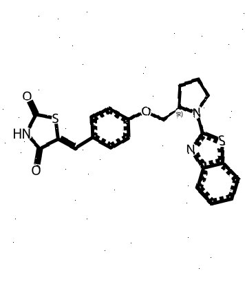 O=C1NC(=O)C(=Cc2ccc(OC[C@H]3CCCN3c3nc4ccccc4s3)cc2)S1